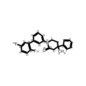 CC1(c2ccccc2)CCN(c2cccc(-c3cc(F)ccc3F)c2)C(=O)C1